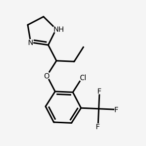 CCC(Oc1cccc(C(F)(F)F)c1Cl)C1=NCCN1